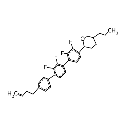 C=CCCc1ccc(-c2ccc(-c3ccc(C4CCC(CCC)CO4)c(F)c3F)c(F)c2F)cc1